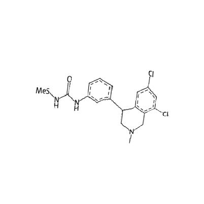 CSNC(=O)Nc1cccc(C2CN(C)Cc3c(Cl)cc(Cl)cc32)c1